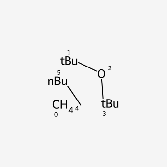 C.CC(C)(C)OC(C)(C)C.CCCCC